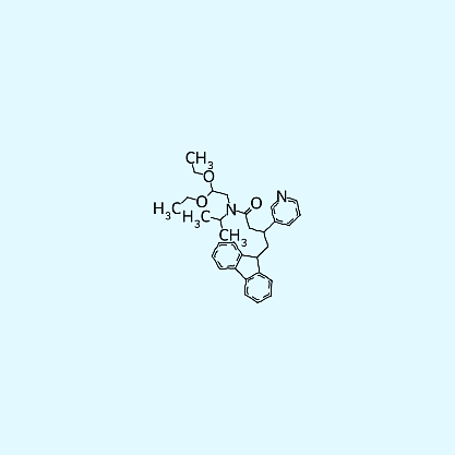 CCOC(CN(C(=O)CC(CC1c2ccccc2-c2ccccc21)c1cccnc1)C(C)C)OCC